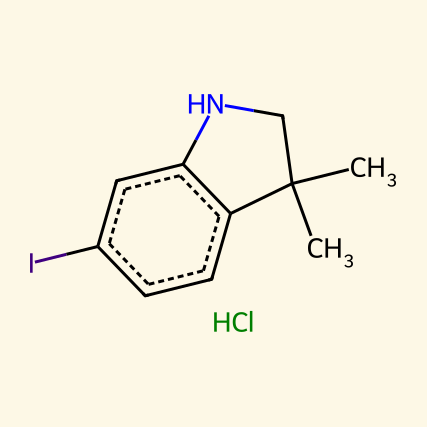 CC1(C)CNc2cc(I)ccc21.Cl